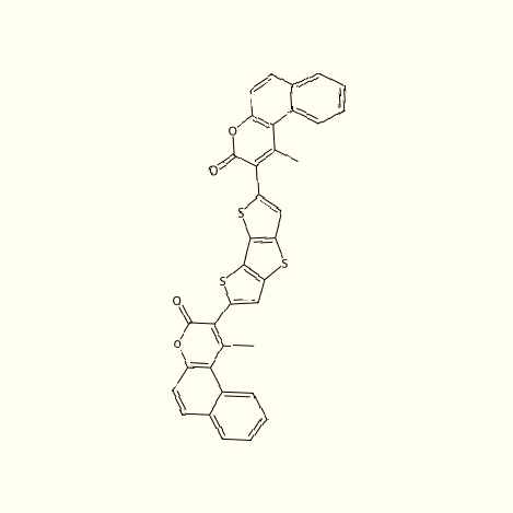 Cc1c(-c2cc3sc4cc(-c5c(C)c6c(ccc7ccccc76)oc5=O)sc4c3s2)c(=O)oc2ccc3ccccc3c12